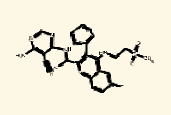 CC(Nc1ncnc(N)c1C#N)c1nc2ccc(F)cc2c(NCCS(C)(=O)=O)c1-c1ccccc1